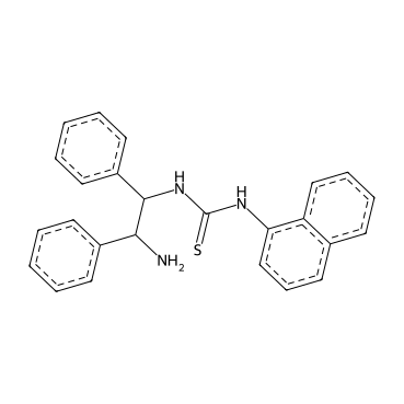 NC(c1ccccc1)C(NC(=S)Nc1cccc2ccccc12)c1ccccc1